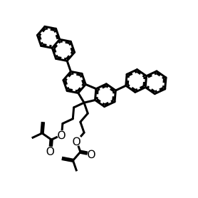 C=C(C)C(=O)OCCCC1(CCCOC(=O)C(=C)C)c2ccc(-c3ccc4ccccc4c3)cc2-c2cc(-c3ccc4ccccc4c3)ccc21